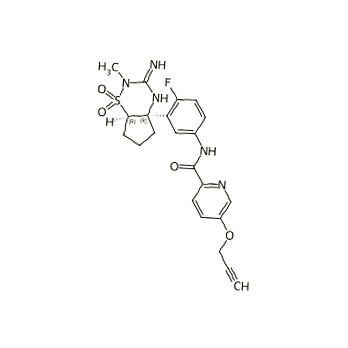 C#CCOc1ccc(C(=O)Nc2ccc(F)c([C@]34CCC[C@H]3S(=O)(=O)N(C)C(=N)N4)c2)nc1